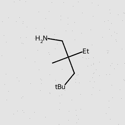 CCC(C)(CN)CC(C)(C)C